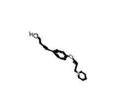 OCCC#Cc1ccc(OCCCN2CCCCC2)cc1